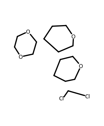 C1CCOCC1.C1CCOCC1.C1COCCO1.ClCCl